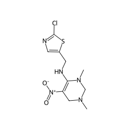 CN1CC([N+](=O)[O-])=C(NCc2cnc(Cl)s2)N(C)C1